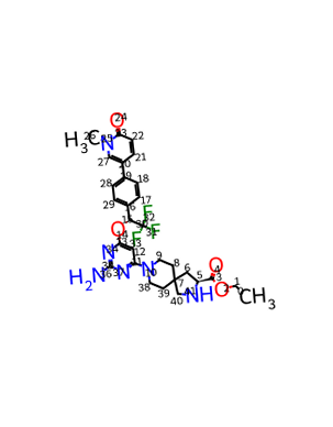 CCOC(=O)[C@@H]1CC2(CCN(c3cc(O[C@H](c4ccc(-c5ccc(=O)n(C)c5)cc4)C(F)(F)F)nc(N)n3)CC2)CN1